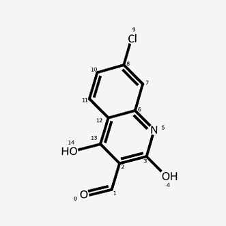 O=Cc1c(O)nc2cc(Cl)ccc2c1O